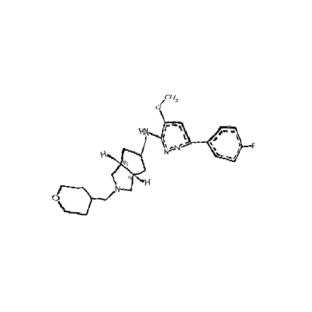 COc1cc(-c2ccc(F)cc2)nnc1NC1C[C@@H]2CN(CC3CCOCC3)C[C@@H]2C1